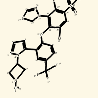 CN1CC(n2nccc2-c2cc(C(F)(F)F)ccc2Oc2c(Cl)cc(S(N)(=O)=O)c(F)c2N2CSC=N2)C1